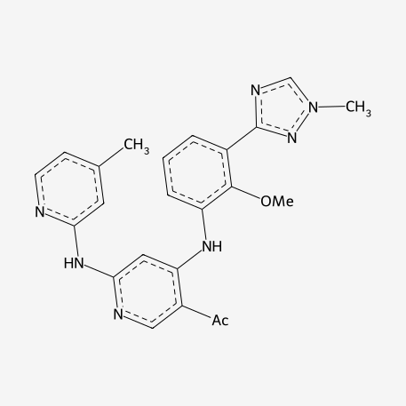 COc1c(Nc2cc(Nc3cc(C)ccn3)ncc2C(C)=O)cccc1-c1ncn(C)n1